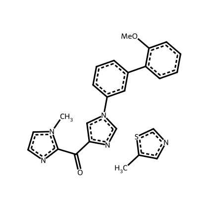 COc1ccccc1-c1cccc(-n2cnc(C(=O)c3nccn3C)c2)c1.Cc1cncs1